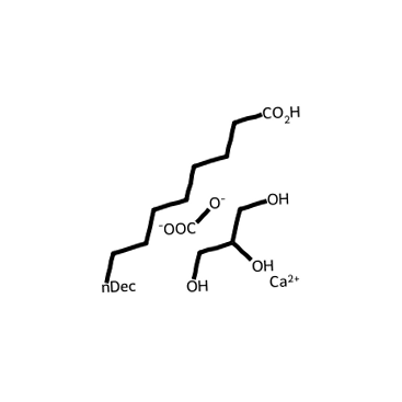 CCCCCCCCCCCCCCCCCC(=O)O.O=C([O-])[O-].OCC(O)CO.[Ca+2]